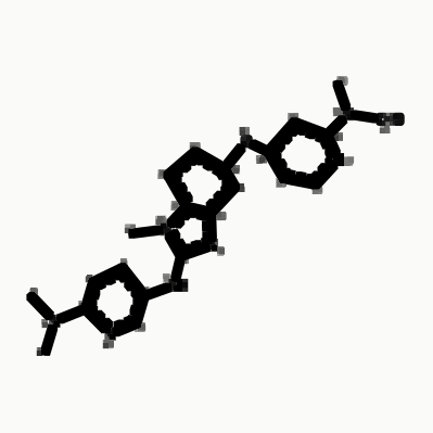 CN(C)c1ccc(Nc2nc3cc(Oc4ccnc(N(C)C=O)c4)ccc3n2C)cn1